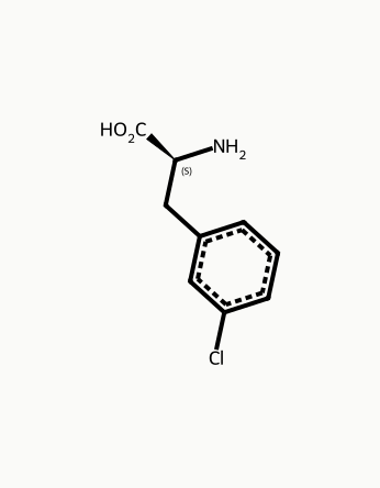 N[C@@H](Cc1cccc(Cl)c1)C(=O)O